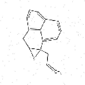 C=CCC12SC1Cc1cccc3cccc2c13